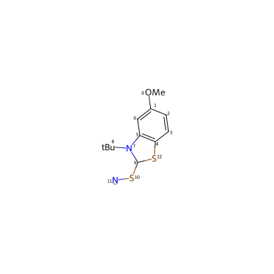 COc1ccc2c(c1)N(C(C)(C)C)C(S[N])S2